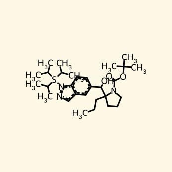 CCCC1(C(O)c2ccc3c(cnn3[Si](C(C)C)(C(C)C)C(C)C)c2)CCCN1C(=O)OC(C)(C)C